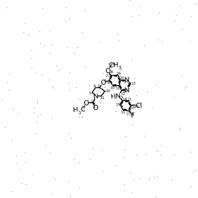 COC(=O)N1CCC(Oc2cc3c(Nc4ccc(F)c(Cl)c4)ncnc3cc2OC)CC1